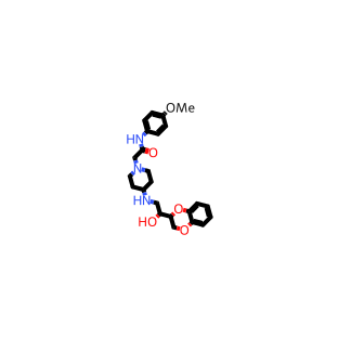 COc1ccc(NC(=O)CN2CCC(NCC(O)C3COc4ccccc4O3)CC2)cc1